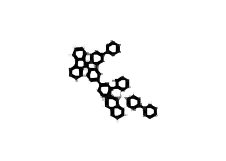 c1ccc(-c2ccc(N(c3cccc4ccccc34)c3cccc4sc5c(-c6ccc(C7(c8ccc(-c9ccccc9)cc8)c8ccccc8-c8ccccc87)cc6)cccc5c34)cc2)cc1